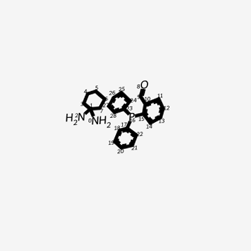 NC1(N)CCCCC1.O=Cc1ccccc1P(c1ccccc1)c1ccccc1